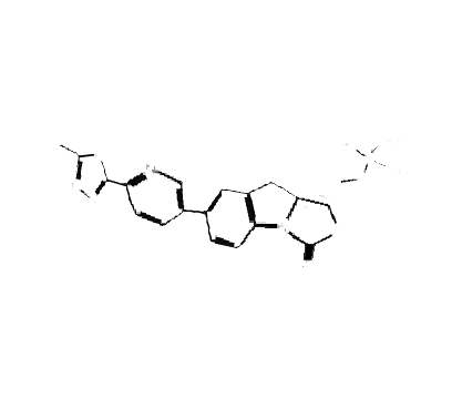 Cc1nnc(-c2ccc(-c3ccc4c(c3)C[C@H]3[C@H](CO[PH](O)(O)O)OC(=O)N43)cn2)o1